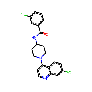 O=C(NC1CCN(c2ccnc3cc(Cl)ccc23)CC1)c1cccc(Cl)c1